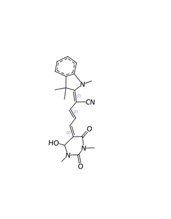 CN1C(=O)\C(=C/C=C/C(C#N)=C2/N(C)c3ccccc3C2(C)C)C(O)N(C)C1=O